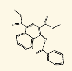 COC(=O)c1nc(C(=O)OC)c2cccnc2c1OC(=O)c1ccccc1